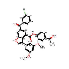 COc1cc(OC)cc(-c2coc3cc(C(=O)c4cccc(F)c4)cc(C(=O)Oc4ccc(C(C)=O)cc4)c23)c1